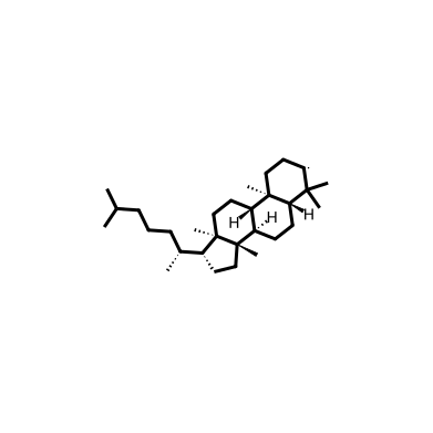 CC(C)CCC[C@@H](C)[C@H]1CC[C@@]2(C)[C@@H]3CC[C@H]4C(C)(C)[CH]CC[C@]4(C)[C@H]3CC[C@]12C